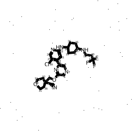 N#CC1(COc2cncc(-c3cc(NC4CCC(NCCC(F)(F)F)CC4)ncc3Cl)n2)CCOCC1